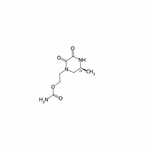 C[C@H]1CN(CCOC(N)=O)C(=O)C(=O)N1